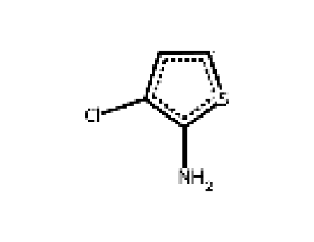 Nc1s[c]cc1Cl